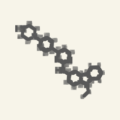 CCn1c2ccccc2c2cc(Nc3nccc(-c4ccc(N5CCNCC5)nc4)n3)ccc21